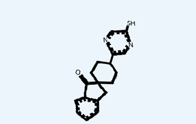 O=C1c2ccccc2CC12CCC(c1cnc(S)cn1)CC2